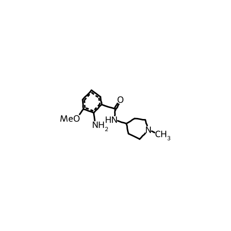 COc1cccc(C(=O)NC2CCN(C)CC2)c1N